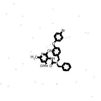 COc1cc(C)nc(OC)c1NC(=O)N(Cc1ccccc1)Cc1ccc(Oc2ccc(Br)cc2)cc1